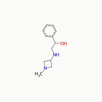 CN1CC(NCC(O)c2ccccc2)C1